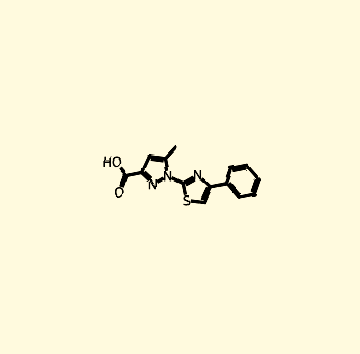 Cc1cc(C(=O)O)nn1-c1nc(-c2ccccc2)cs1